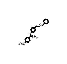 COc1ccc(C(N)=Nc2ccc(CCOCc3ccccc3)cc2)cc1